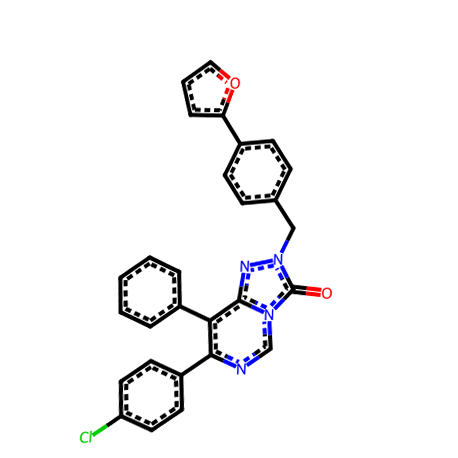 O=c1n(Cc2ccc(-c3ccco3)cc2)nc2c(-c3ccccc3)c(-c3ccc(Cl)cc3)ncn12